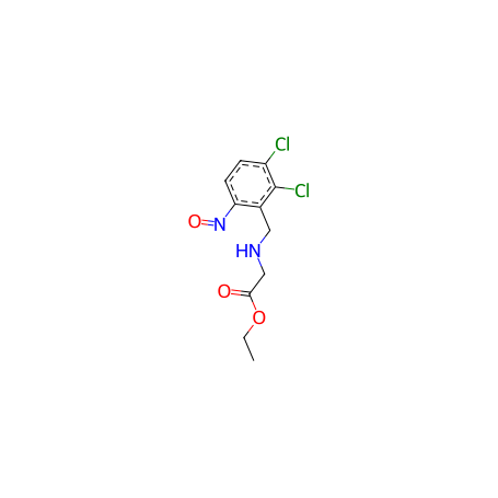 CCOC(=O)CNCc1c(N=O)ccc(Cl)c1Cl